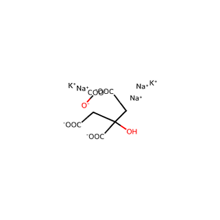 O=C([O-])CC(O)(CC(=O)[O-])C(=O)[O-].O=C([O-])[O-].[K+].[K+].[Na+].[Na+].[Na+]